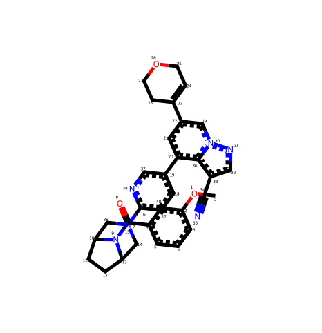 COc1cccc(C(=O)N2C3CCC2CN(c2ccc(-c4cc(C5=CCOCC5)cn5ncc(C#N)c45)cn2)C3)c1